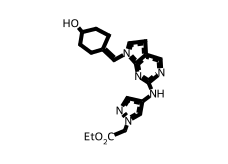 CCOC(=O)Cn1cc(Nc2ncc3ccn(C=C4CCC(O)CC4)c3n2)cn1